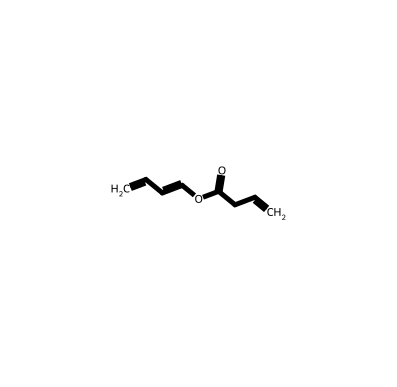 C=CC=COC(=O)CC=C